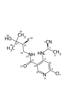 C[C@H](C#N)Nc1cc(Cl)ncc1C(=O)NC[C@H](F)C(C)(C)O